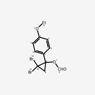 CCOc1ccc(C2(OC=O)CC2(Br)Br)cc1